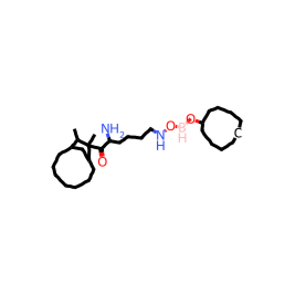 CC1C2CCCCCCCC(C2)C1(C)C(=O)C(N)CCCCNOBOC1CCCCCCCCC1